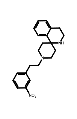 O=[N+]([O-])c1cccc(CCN2CCC3(CC2)NCCc2ccccc23)c1